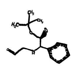 CC(C)(C)OC(=O)C(NCC=O)c1ccccc1